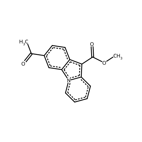 COC(=O)c1c2ccc(C(C)=O)cc2n2ccccc12